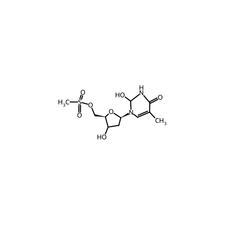 CC1=CN([C@H]2CC(O)[C@@H](COS(C)(=O)=O)O2)C(O)NC1=O